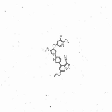 CCOc1cc(-c2ccc(N3C[C@@H](N)[C@H](Oc4cnc(OC)c(F)c4)C3)nc2)c2c(C#N)cnn2c1